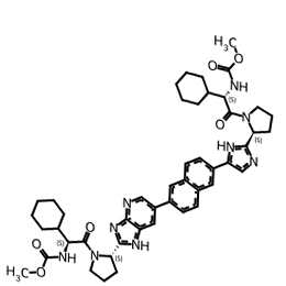 COC(=O)N[C@H](C(=O)N1CCC[C@H]1c1ncc(-c2ccc3cc(-c4cnc5nc([C@@H]6CCCN6C(=O)[C@@H](NC(=O)OC)C6CCCCC6)[nH]c5c4)ccc3c2)[nH]1)C1CCCCC1